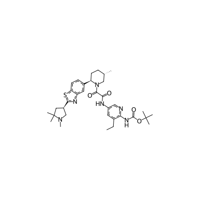 CCc1cc(NC(=O)C(=O)N2C[C@@H](C)CC[C@@H]2c2ccc3sc([C@H]4CN(C)C(C)(C)C4)nc3c2)cnc1NC(=O)OC(C)(C)C